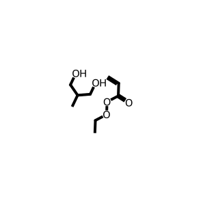 C=CC(=O)OOCC.CC(CO)CO